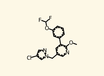 COc1ncc(Cn2cc(Cl)cn2)cc1-c1cccc(OC(F)F)c1